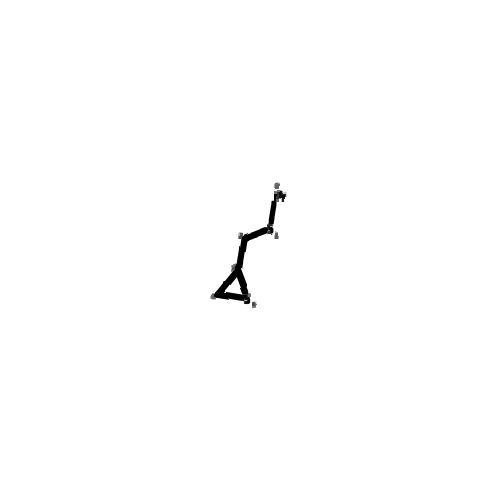 CC(C)SCC1CS1